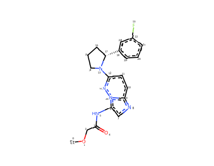 CCOCC(=O)Nc1cnc2ccc(N3CCC[C@@H]3c3cccc(F)c3)nn12